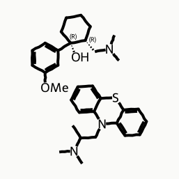 CC(CN1c2ccccc2Sc2ccccc21)N(C)C.COc1cccc([C@@]2(O)CCCC[C@@H]2CN(C)C)c1